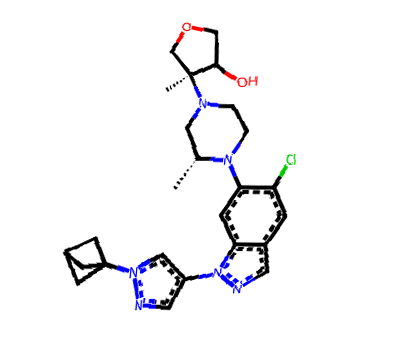 C[C@@H]1CN([C@@]2(C)COCC2O)CCN1c1cc2c(cnn2-c2cnn(C34CC(C3)C4)c2)cc1Cl